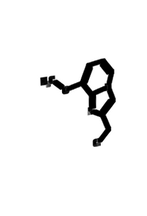 COc1cccn2cc(CCl)nc12